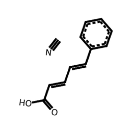 C#N.O=C(O)C=CC=Cc1ccccc1